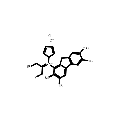 CC(C)C[C](CC(C)C)=[Zr+2]([c]1c2c(cc(C(C)(C)C)c1C(C)(C)C)-c1cc(C(C)(C)C)c(C(C)(C)C)cc1C2)[CH]1C=CC=C1.[Cl-].[Cl-]